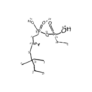 CCC(C)(C)CNCP(=O)(O)OP(=O)(O)CC